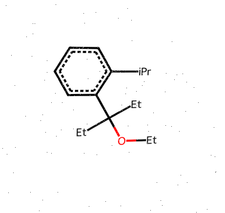 CCOC(CC)(CC)c1ccccc1C(C)C